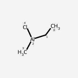 C[CH2][Al]([CH3])[Cl]